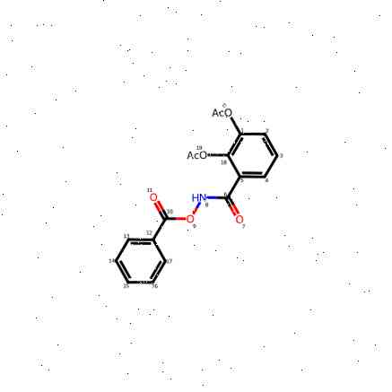 CC(=O)Oc1cccc(C(=O)NOC(=O)c2ccccc2)c1OC(C)=O